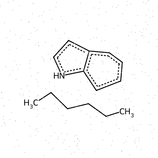 CCCCCC.c1ccc2[nH]ccc2c1